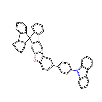 c1ccc2c(c1)-c1ccccc1C21c2ccccc2-c2cc3c(cc21)oc1ccc(-c2ccc(-n4c5ccccc5c5ccccc54)cc2)cc13